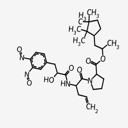 C=CCC(NC(=O)C(O)Cc1ccc(N=O)c(N=O)c1)C(=O)N1CCCC1C(=O)OC(C)CC1CCC(C)(C)C1(C)C